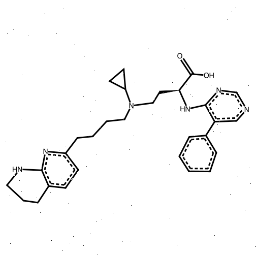 O=C(O)[C@H](CCN(CCCCc1ccc2c(n1)NCCC2)C1CC1)Nc1ncncc1-c1ccccc1